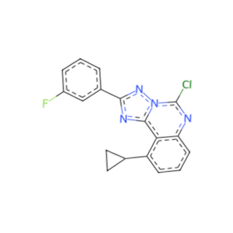 Fc1cccc(-c2nc3c4c(C5CC5)cccc4nc(Cl)n3n2)c1